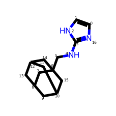 c1c[nH]c(NCC23CC4CC(CC(C4)C2)C3)n1